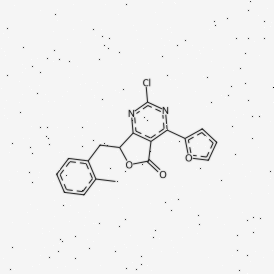 Cc1ccccc1CC1OC(=O)c2c(-c3ccco3)nc(Cl)nc21